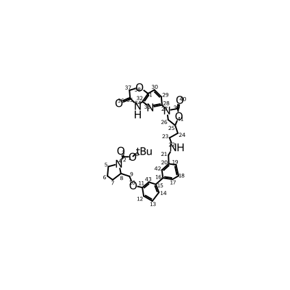 CC(C)(C)OC(=O)N1CCCC1COc1cccc(-c2cccc(CNCCC3CN(c4ccc5c(n4)NC(=O)CO5)C(=O)O3)c2)c1